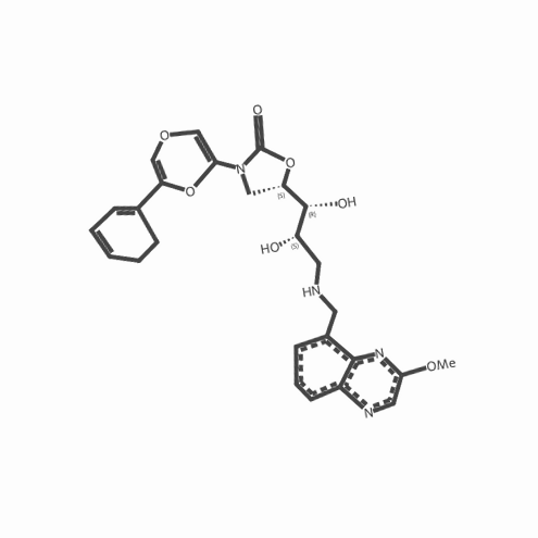 COc1cnc2cccc(CNC[C@H](O)[C@@H](O)[C@@H]3CN(C4=COC=C(C5=CC=CCC5)O4)C(=O)O3)c2n1